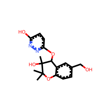 CC1(C)Oc2ccc(CO)cc2C(Oc2ccc(O)nn2)C1(C)O